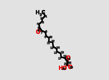 CCCCCC1OC1CCCCCCCCCCC1OC1C(=O)O